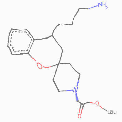 CC(C)(C)OC(=O)N1CCC2(CC1)CC(CCCN)c1ccccc1O2